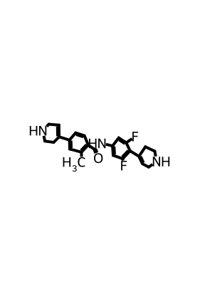 Cc1cc(C2=CCNCC2)ccc1C(=O)Nc1cc(F)c(C2=CCNCC2)c(F)c1